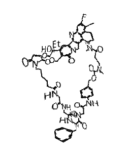 CC[C@@]1(O)C(=O)OCc2c1cc1n(c2=O)Cc2c-1nc1cc(F)c(C)c3c1c2[C@@H](N(C)C(=O)CCN(C)C(=O)OCc1ccc(NC(=O)CNC(=O)[C@H](Cc2ccccc2)NC(=O)CNC(=O)CNC(=O)CCCCCN2C(=O)C=CC2=O)cc1)CC3